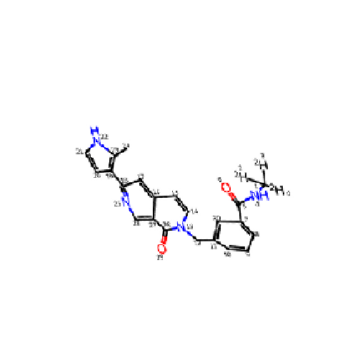 [2H]C([2H])([2H])NC(=O)c1cccc(Cn2ccc3cc(-c4cc[nH]c4C)ncc3c2=O)c1